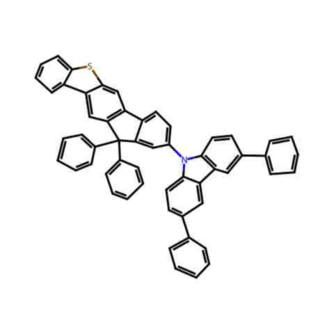 c1ccc(-c2ccc3c(c2)c2cc(-c4ccccc4)ccc2n3-c2ccc3c(c2)C(c2ccccc2)(c2ccccc2)c2cc4c(cc2-3)sc2ccccc24)cc1